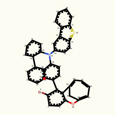 Brc1ccc2c(c1-c1ccc(N(c3ccc4sc5ccccc5c4c3)c3ccccc3-c3ccccc3)cc1)C1=CC=CC=C(C1)O2